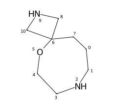 C1CNCCOC2(C1)CNC2